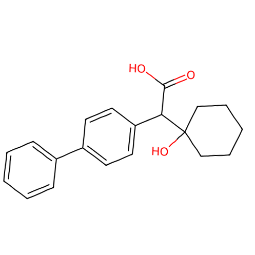 O=C(O)C(c1ccc(-c2ccccc2)cc1)C1(O)CCCCC1